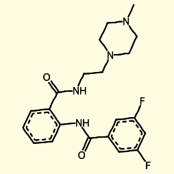 CN1CCN(CCNC(=O)c2ccccc2NC(=O)c2cc(F)cc(F)c2)CC1